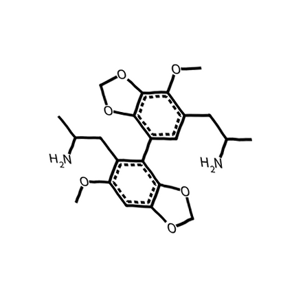 COc1cc2c(c(-c3cc(CC(C)N)c(OC)c4c3OCO4)c1CC(C)N)OCO2